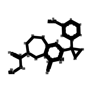 COc1cccc(C2(c3nc4c(c(=O)[nH]3)CN(C(=O)OC(C)(C)C)CCC4)CC2)c1